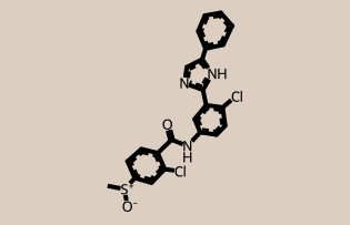 C[S+]([O-])c1ccc(C(=O)Nc2ccc(Cl)c(-c3ncc(-c4ccccc4)[nH]3)c2)c(Cl)c1